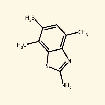 Bc1cc(C)c2nc(N)sc2c1C